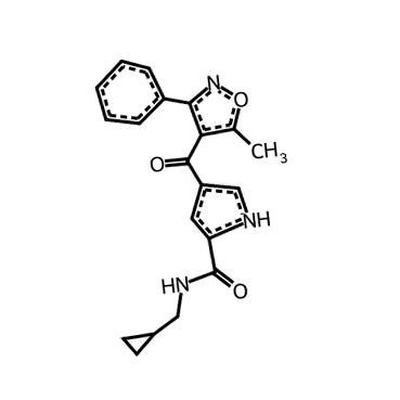 Cc1onc(-c2ccccc2)c1C(=O)c1c[nH]c(C(=O)NCC2CC2)c1